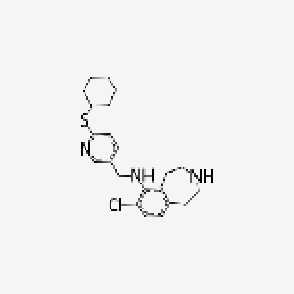 Clc1ccc2c(c1NCc1ccc(SC3CCCCC3)nc1)CCNCC2